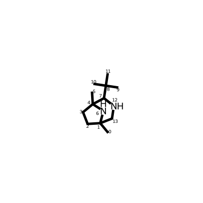 CC12CCC(C)(N1)C(C(C)(C)C)NC2